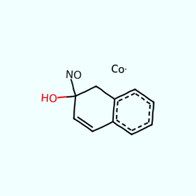 O=NC1(O)C=Cc2ccccc2C1.[Co]